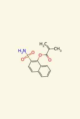 C=C(C)C(=O)Oc1c(S(N)(=O)=O)ccc2ccccc12